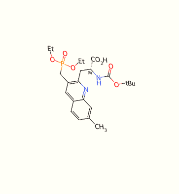 CCOP(=O)(Cc1cc2ccc(C)cc2nc1C[C@@H](NC(=O)OC(C)(C)C)C(=O)O)OCC